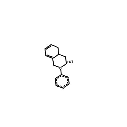 C1=CCC2CCN(c3ccncn3)CC2=C1.Cl